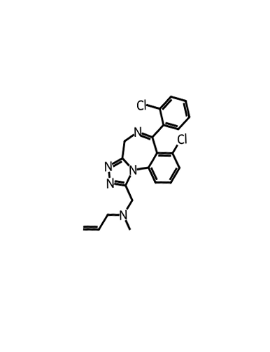 C=CCN(C)Cc1nnc2n1-c1cccc(Cl)c1C(c1ccccc1Cl)=NC2